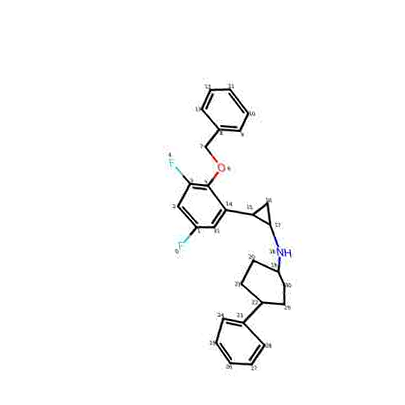 Fc1cc(F)c(OCc2ccccc2)c(C2CC2NC2CCC(c3ccccc3)CC2)c1